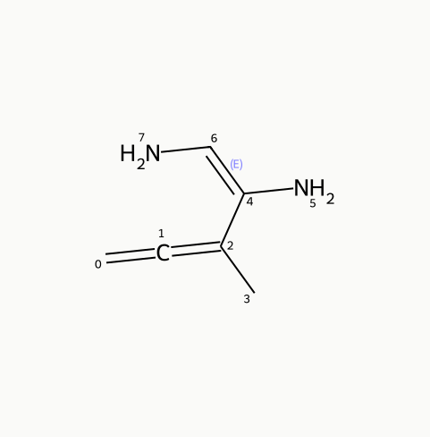 C=C=C(C)/C(N)=C\N